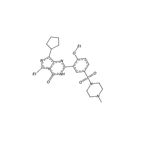 CCOc1ccc(S(=O)(=O)N2CCN(C)CC2)cc1-c1nc2c(C3CCCC3)nc(CC)n2c(=O)[nH]1